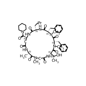 CC(C)C[C@@H]1NC(=O)[C@H](Cc2ccccc2)N(C)C(=O)[C@H](Cc2ccccc2)N(C)C(=O)[C@H]([C@@H](C)O)NC(=O)CN(C)C(=O)[C@H](C)NC(=O)C[C@@H](C(=O)N2CCCCC2)NC1=O